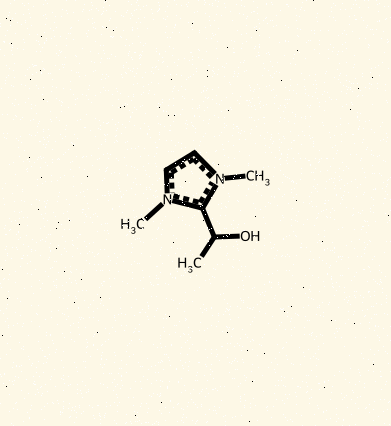 CC(O)c1n(C)cc[n+]1C